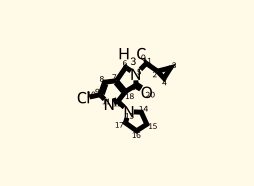 C[C@@H](C1CC1)N1Cc2cc(Cl)nc(N3CCCC3)c2C1=O